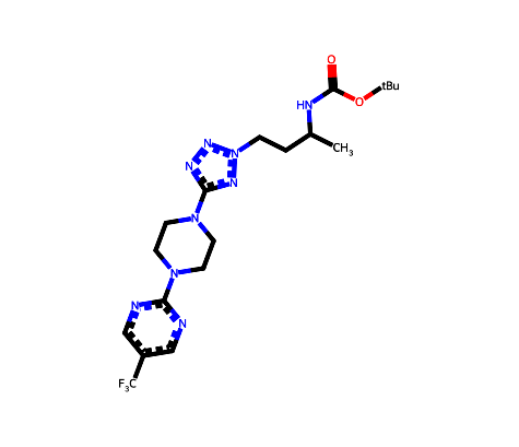 CC(CCn1nnc(N2CCN(c3ncc(C(F)(F)F)cn3)CC2)n1)NC(=O)OC(C)(C)C